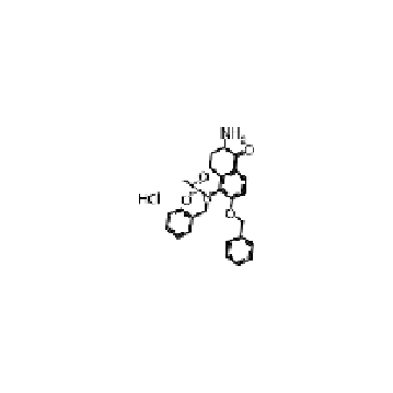 CS(=O)(=O)N(Cc1ccccc1)c1c(OCc2ccccc2)ccc2c1CCC(N)C2=O.Cl